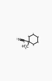 [CH2]C1(C#N)CCCCC1